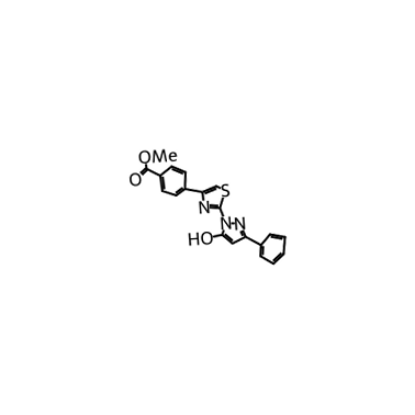 COC(=O)c1ccc(-c2csc(-n3nc(-c4ccccc4)cc3O)n2)cc1